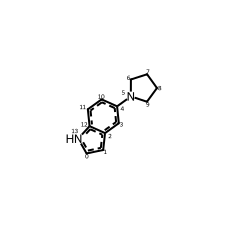 c1cc2cc(N3CCCC3)ccc2[nH]1